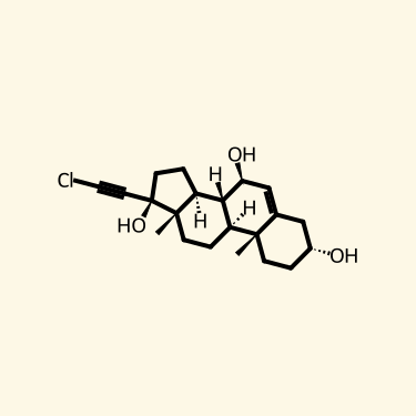 C[C@]12CC[C@@H](O)CC1=C[C@H](O)[C@@H]1[C@@H]2CC[C@@]2(C)[C@H]1CC[C@@]2(O)C#CCl